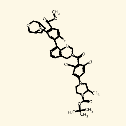 COC(=O)c1cc(F)c(-c2cccc3c2OCN(C(=O)c2c(Cl)cc(N4CCN(C(=O)OC(C)(C)C)C(C)C4)cc2Cl)C3)cc1N1C2CCC1COC2